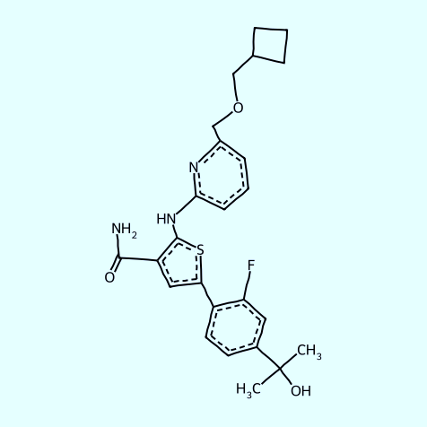 CC(C)(O)c1ccc(-c2cc(C(N)=O)c(Nc3cccc(COCC4CCC4)n3)s2)c(F)c1